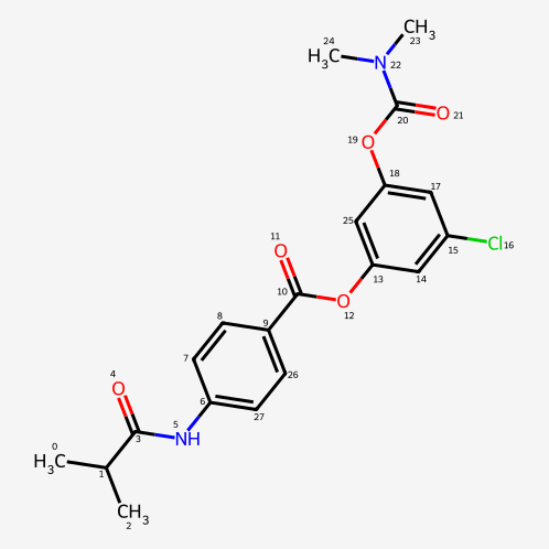 CC(C)C(=O)Nc1ccc(C(=O)Oc2cc(Cl)cc(OC(=O)N(C)C)c2)cc1